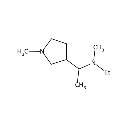 CCN(C)C(C)C1CCN(C)C1